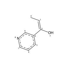 C/C=C(/O)c1cccnc1